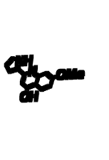 COc1ccc2c(O)cc(-c3ccc[nH]3)nc2c1